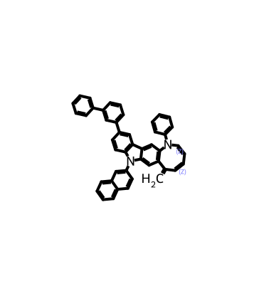 C=C1/C=C\C=C/N(c2ccccc2)c2cc3c4cc(-c5cccc(-c6ccccc6)c5)ccc4n(-c4ccc5ccccc5c4)c3cc21